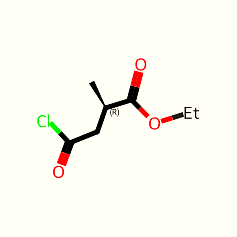 CCOC(=O)[C@H](C)CC(=O)Cl